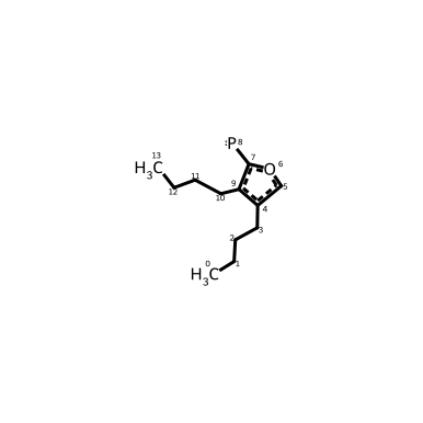 CCCCc1coc([P])c1CCCC